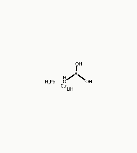 OB(O)O.[Cu].[LiH].[PbH2]